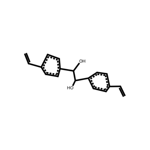 C=Cc1ccc(C(O)C(O)c2ccc(C=C)cc2)cc1